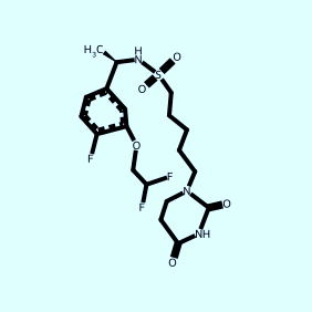 C[C@@H](NS(=O)(=O)CCCCCN1CCC(=O)NC1=O)c1ccc(F)c(OCC(F)F)c1